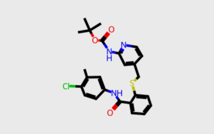 Cc1cc(NC(=O)c2ccccc2SCc2ccnc(NC(=O)OC(C)(C)C)c2)ccc1Cl